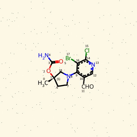 C[C@]1(OC(N)=O)CCN(c2c(C=O)cnc(Cl)c2Br)C1